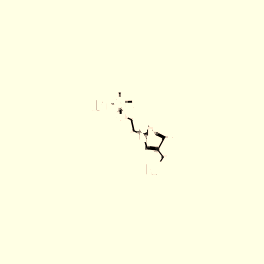 CC(C)(C)[Si](C)(C)OCCn1cc(CO)cn1